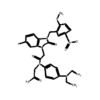 CCN(CC)c1ccc(N(CC(N)=O)C(=O)Cn2c(=O)n(Cc3cc([N+](=O)[O-])ccc3OC)c3ccc(F)cc32)cc1